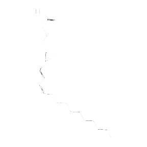 CCCCCCCCCC/C=C\C=C\[C@@H]1O[C@H]1CCCC(=O)O